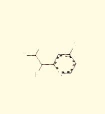 CC(=O)c1ccnc(C(F)C(F)F)c1